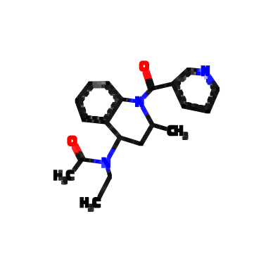 CCN(C(C)=O)C1CC(C)N(C(=O)c2cccnc2)c2ccccc21